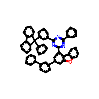 c1ccc(-c2cccc(-c3cc(-c4nc(-c5ccccc5)nc(-c5cccc(C6(c7ccccc7)c7ccccc7-c7ccccc76)c5)n4)c4c(c3)oc3ccccc34)c2)cc1